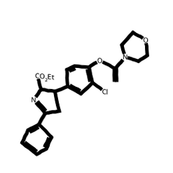 C=C(Oc1ccc(C2CC(c3ccccc3)=NC2C(=O)OCC)cc1Cl)N1CCOCC1